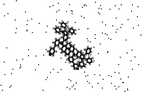 c1ccc(-c2c(-c3ccccc3)n(-c3ccccc3)c3cc(N(c4cccc(-c5ccncc5)c4)c4ccc5ccc6c(N(c7cccc(-c8ccncc8)c7)c7ccc8c(-c9ccccc9)c(-c9ccccc9)n(-c9ccccc9)c8c7)ccc7ccc4c5c76)ccc23)cc1